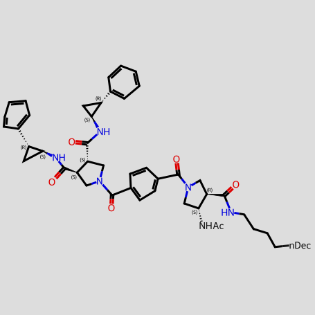 CCCCCCCCCCCCCCNC(=O)[C@@H]1CN(C(=O)c2ccc(C(=O)N3C[C@@H](C(=O)N[C@H]4C[C@@H]4c4ccccc4)[C@H](C(=O)N[C@H]4C[C@@H]4c4ccccc4)C3)cc2)C[C@H]1NC(C)=O